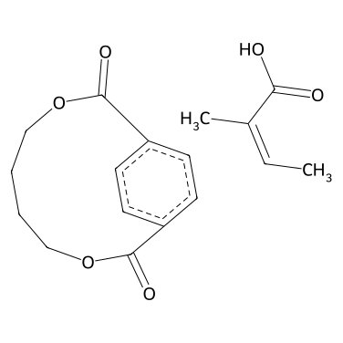 CC=C(C)C(=O)O.O=C1OCCCCOC(=O)c2ccc1cc2